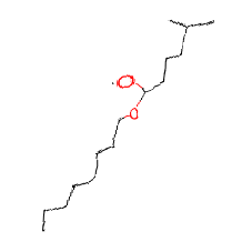 CCCCCCCCOC([O])CCCC(C)C